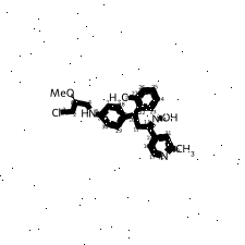 CO[C@@H](CCl)CNc1ccc(C(CC(=NO)c2ccnc(C)c2)c2ccccc2C)cc1